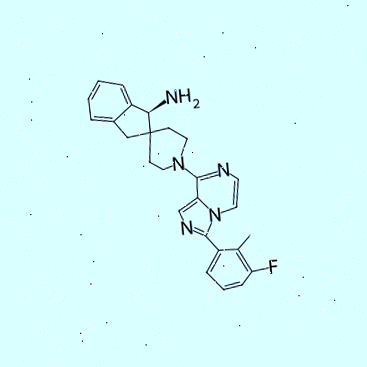 Cc1c(F)cccc1-c1ncc2c(N3CCC4(CC3)Cc3ccccc3[C@H]4N)nccn12